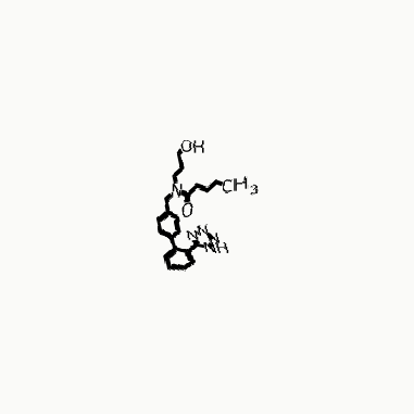 CCCCC(=O)N(CCCO)Cc1ccc(-c2ccccc2-c2nnn[nH]2)cc1